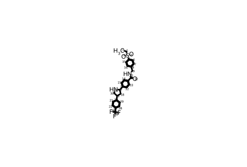 CCS(=O)(=O)c1ccc(CNC(=O)c2ccc(C3CC(c4ccc(C(F)(F)F)cc4)CN3)cc2)cc1